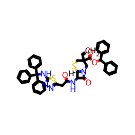 C=CC1(C(=O)OC(c2ccccc2)c2ccccc2)CS[C@@H]2C(NC(=O)Cc3nnc(NC(c4ccccc4)(c4ccccc4)c4ccccc4)s3)C(=O)N2C1